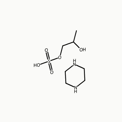 C1CNCCN1.CC(O)COS(=O)(=O)O